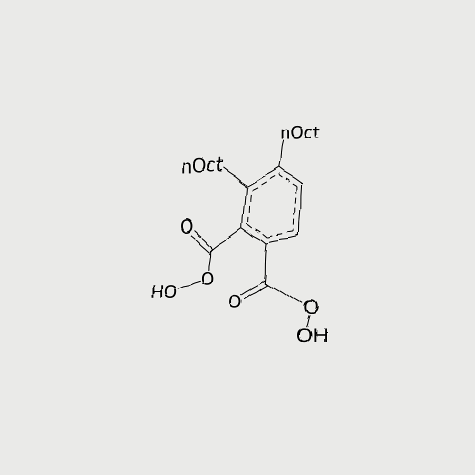 CCCCCCCCc1ccc(C(=O)OO)c(C(=O)OO)c1CCCCCCCC